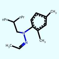 C/C=N\N(CC(CCC)CCC)c1ccc(C)cc1C